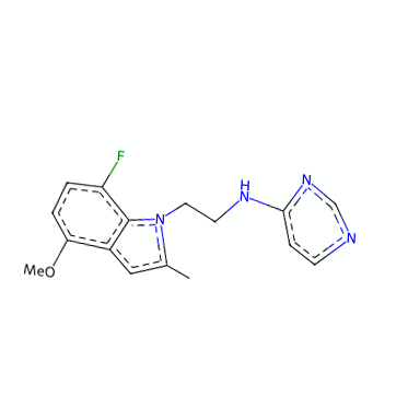 COc1ccc(F)c2c1cc(C)n2CCNc1ccncn1